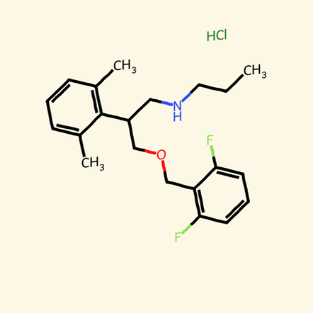 CCCNCC(COCc1c(F)cccc1F)c1c(C)cccc1C.Cl